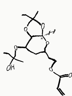 C=CC(=O)OCC1CC(OC(C)(C)O)C2OC(C)(C)O[C@H]2O1